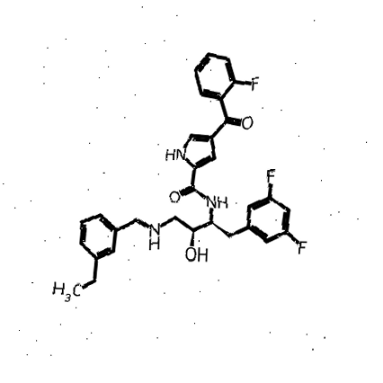 CCc1cccc(CNC[C@H](O)[C@H](Cc2cc(F)cc(F)c2)NC(=O)c2cc(C(=O)c3ccccc3F)c[nH]2)c1